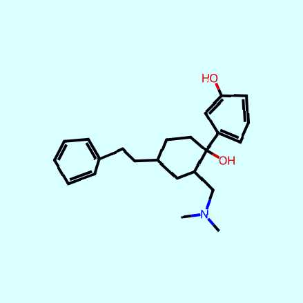 CN(C)CC1CC(CCc2ccccc2)CCC1(O)c1cccc(O)c1